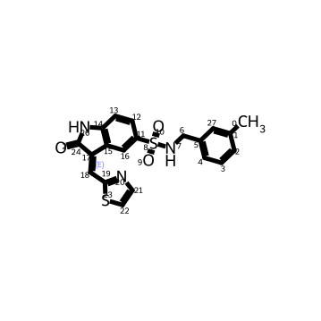 Cc1cccc(CNS(=O)(=O)c2ccc3c(c2)/C(=C\c2nccs2)C(=O)N3)c1